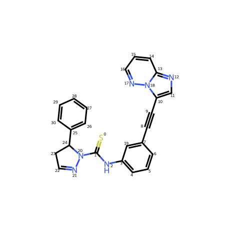 S=C(Nc1cccc(C#Cc2cnc3cccnn23)c1)N1N=CCC1c1ccccc1